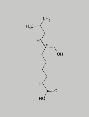 CC(C)CN[C@H](CO)CCCCNC(=O)O